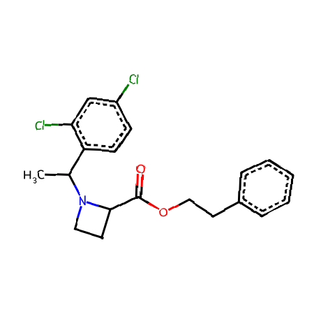 CC(c1ccc(Cl)cc1Cl)N1CCC1C(=O)OCCc1ccccc1